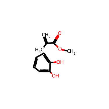 C=C(C)C(=O)OC.Oc1ccccc1O